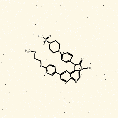 COCCOc1ccc(-c2ccc3ncc4c(c3c2)n(-c2ccc(N3CCN(S(C)(=O)=O)CC3)cc2)c(=O)n4C)cn1